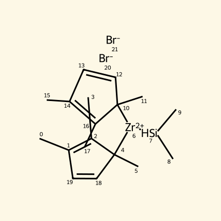 CC1=C(C)[C](C)([Zr+2]([SiH](C)C)[C]2(C)C=CC(C)=C2C)C=C1.[Br-].[Br-]